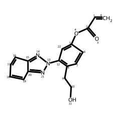 C=CC(=O)Oc1ccc(CCO)c(-n2nc3ccccc3n2)c1